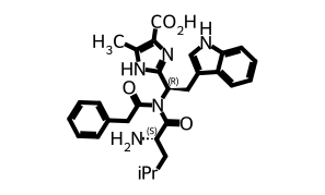 Cc1[nH]c([C@@H](Cc2c[nH]c3ccccc23)N(C(=O)Cc2ccccc2)C(=O)[C@@H](N)CC(C)C)nc1C(=O)O